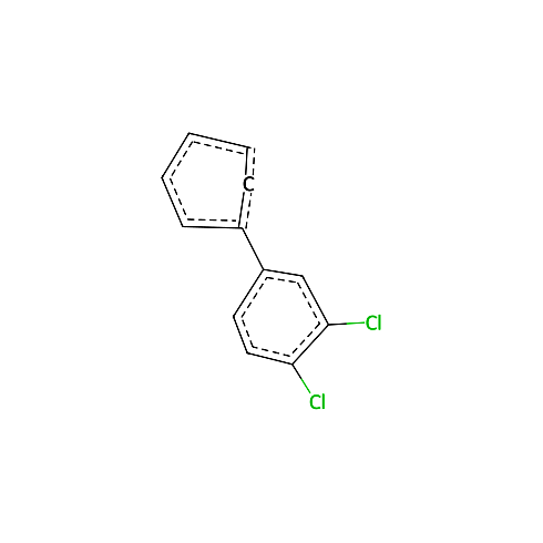 Clc1ccc(-c2ccccc2)cc1Cl